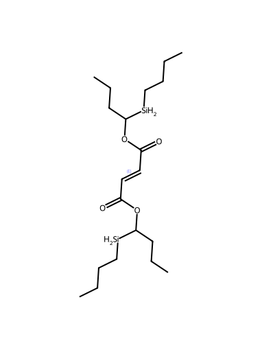 CCCC[SiH2]C(CCC)OC(=O)/C=C/C(=O)OC(CCC)[SiH2]CCCC